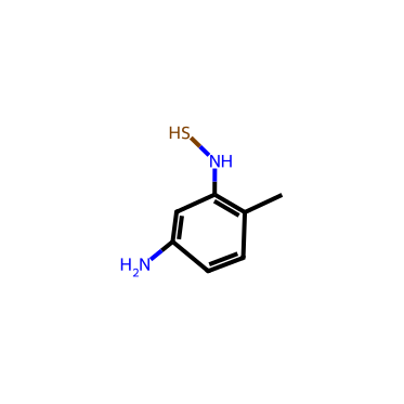 Cc1ccc(N)cc1NS